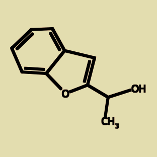 CC(O)c1cc2ccccc2o1